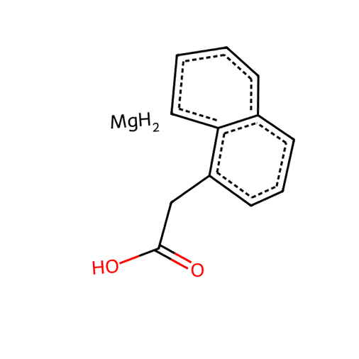 O=C(O)Cc1cccc2ccccc12.[MgH2]